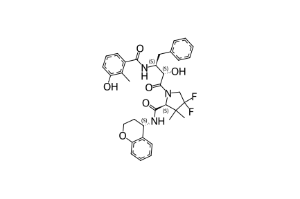 Cc1c(O)cccc1C(=O)N[C@@H](Cc1ccccc1)[C@H](O)C(=O)N1CC(F)(F)C(C)(C)[C@H]1C(=O)N[C@H]1CCOc2ccccc21